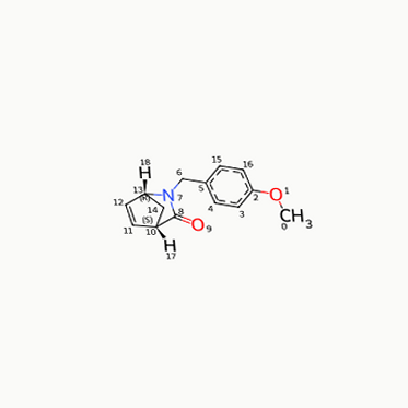 COc1ccc(CN2C(=O)[C@@H]3C=C[C@H]2C3)cc1